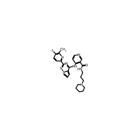 Cc1nc(-c2nc(Nc3ccncc3C(=O)NCCCN3CCCCC3)c3cccn3n2)ccc1F